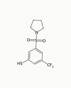 O=S(=O)(c1cc(S)cc(C(F)(F)F)c1)N1CCCC1